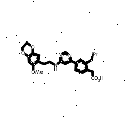 COc1cc2c(cc1CCNc1cc(-c3ccc(CC(=O)O)c(CC(C)C)c3)ncn1)OCCO2